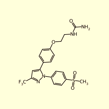 CS(=O)(=O)c1ccc(-n2nc(C(F)(F)F)cc2-c2ccc(OCCNC(N)=O)cc2)cc1